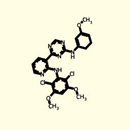 COC1=CCCC(Nc2ncnc(-c3cccnc3Nc3c(Cl)c(OC)cc(OC)c3Cl)n2)=C1